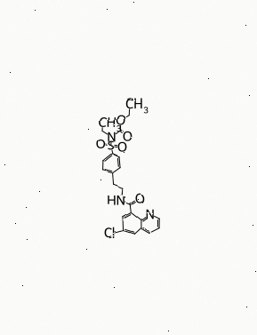 CCOC(=O)N(CC)S(=O)(=O)c1ccc(CCNC(=O)c2cc(Cl)cc3cccnc23)cc1